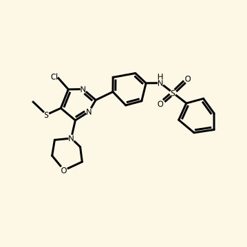 CSc1c(Cl)nc(-c2ccc(NS(=O)(=O)c3ccccc3)cc2)nc1N1CCOCC1